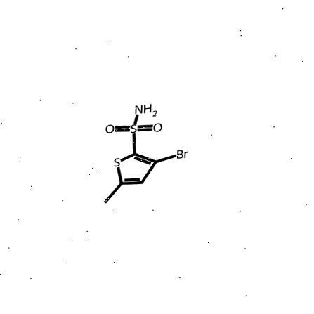 Cc1cc(Br)c(S(N)(=O)=O)s1